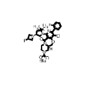 CC(C)(C)OC(=O)N1CCN2C(=O)c3c(N4C[C@@H](N5CC(F)C5)CC4(C)C)nc(-c4ccccc4F)c(Cl)c3OC[C@H]2C1